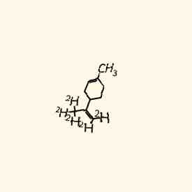 [2H]C([2H])=C(C1CC=C(C)CC1)C([2H])([2H])[2H]